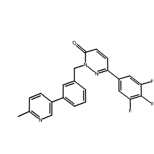 Cc1ccc(-c2cccc(Cn3nc(-c4cc(F)c(F)c(F)c4)ccc3=O)c2)cn1